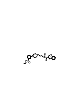 CCOC(=O)c1cccc(N2CCN(CCCCNC(=O)C3=Cc4ccccc4OC3)CC2)c1